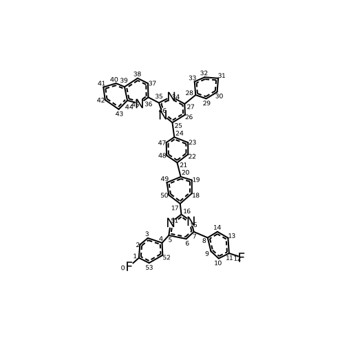 Fc1ccc(-c2cc(-c3ccc(F)cc3)nc(-c3ccc(-c4ccc(-c5cc(-c6ccccc6)nc(-c6ccc7ccccc7n6)n5)cc4)cc3)n2)cc1